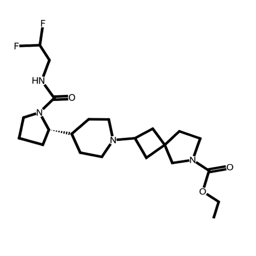 CCOC(=O)N1CCC2(CC(N3CCC([C@@H]4CCCN4C(=O)NCC(F)F)CC3)C2)C1